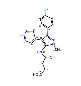 Cn1nc(-c2ccc(F)cc2)c(-c2ccncc2)c1NC(=O)CCC(=O)O